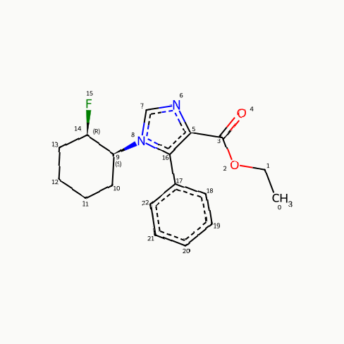 CCOC(=O)c1ncn([C@H]2CCCC[C@H]2F)c1-c1ccccc1